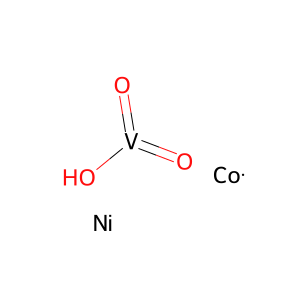 [Co].[Ni].[O]=[V](=[O])[OH]